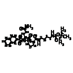 CC(C)(C)OC(=O)NCCCCNC(=O)[C@@H]1CCCN1C(=O)[C@@H](CCC(N)=O)NS(=O)(=O)c1ccc2ccccc2c1